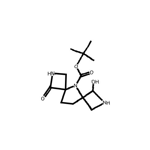 CC(C)(C)OC(=O)N1C2(CCC13CNC3O)CNC2=O